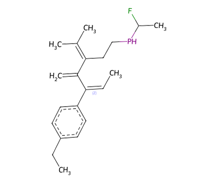 C=C(C(CCPC(C)F)=C(C)C)/C(=C\C)c1ccc(CC)cc1